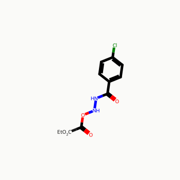 CCOC(=O)C(=O)ONNC(=O)c1ccc(Cl)cc1